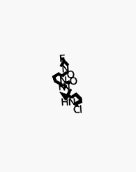 O=C(C1CCCc2nn(CC3(C4C=CC=C(Cl)N4)CC3)c(=O)n21)N1CC(F)C1